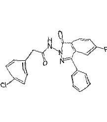 O=C(Cc1ccc(Cl)cc1)Nn1nc(-c2ccccc2)c2cc(F)ccc2c1=O